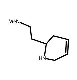 CNCCC1CC=CCN1